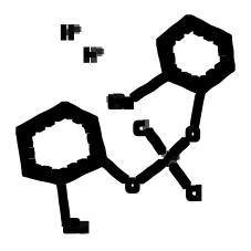 CC(C)(C)c1ccccc1[O][Zr]([Cl])([Cl])[O]c1ccccc1C(C)(C)C.[H+].[H+]